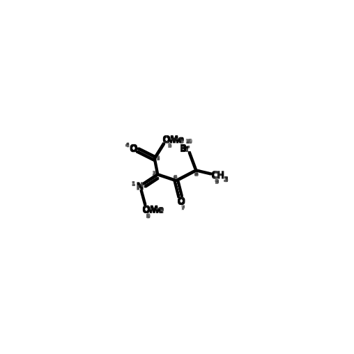 CON=C(C(=O)OC)C(=O)C(C)Br